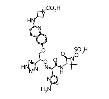 CC1(C)C(NC(=O)/C(=N\OC(COc2ccc3nc(NC4CN(C(=O)O)C4)ccc3c2)c2nn[nH]n2)c2csc(N)n2)C(=O)N1OS(=O)(=O)O